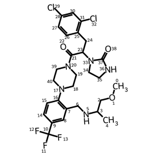 COCC(C)NCc1cc(C(F)(F)F)ccc1N1CCN(C(=O)C(Cc2ccc(Cl)cc2Cl)N2CCNC2=O)CC1